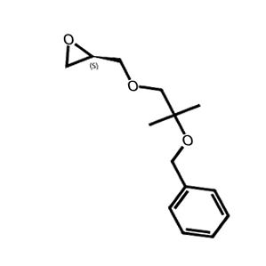 CC(C)(COC[C@H]1CO1)OCc1ccccc1